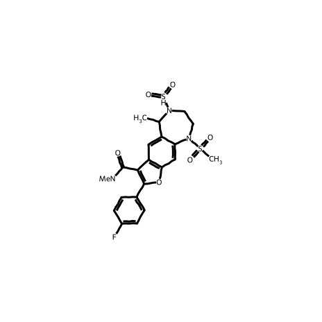 CNC(=O)c1c(-c2ccc(F)cc2)oc2cc3c(cc12)C(C)N([SH](=O)=O)CCN3S(C)(=O)=O